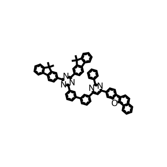 CC1(C)c2ccccc2-c2ccc(-c3nc(-c4cccc(-c5cccc(-c6cc(-c7ccc8c(c7)oc7c9ccccc9ccc87)nc(-c7ccccc7)n6)c5)c4)nc(-c4ccc5c(c4)C(C)(C)c4ccccc4-5)n3)cc21